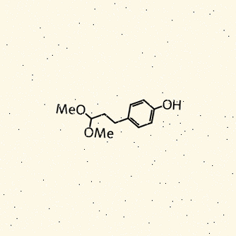 COC(CCc1ccc(O)cc1)OC